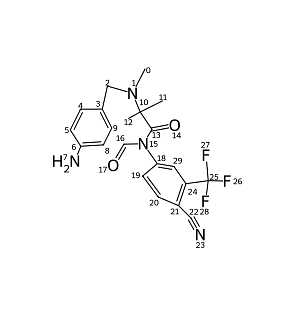 CN(Cc1ccc(N)cc1)C(C)(C)C(=O)N(C=O)c1ccc(C#N)c(C(F)(F)F)c1